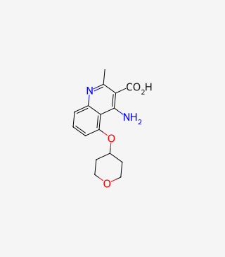 Cc1nc2cccc(OC3CCOCC3)c2c(N)c1C(=O)O